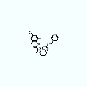 Cc1cc(Cl)cc(C)c1NC(=O)C(C)P1(C)(CC(=O)OCc2ccccc2)CCCCC1